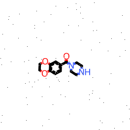 O=C(c1ccc2c(c1)OCCO2)N1CCNCC1